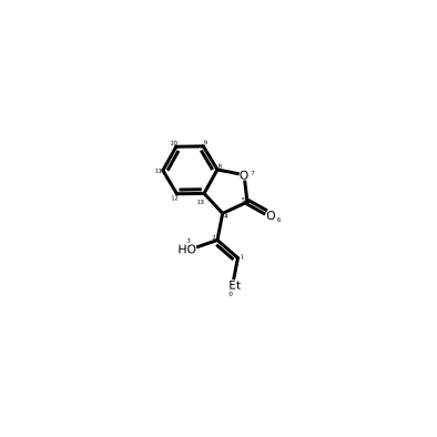 CCC=C(O)C1C(=O)Oc2ccccc21